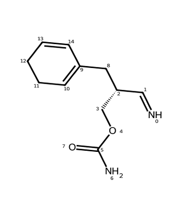 N=C[C@H](COC(N)=O)CC1=CCCC=C1